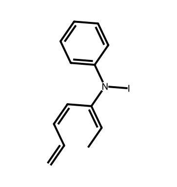 C=C/C=C\C(=C/C)N(I)c1ccccc1